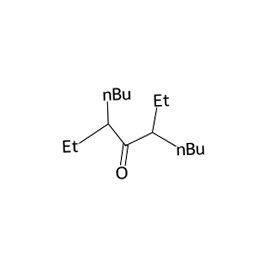 CCCCC(CC)C(=O)C(CC)CCCC